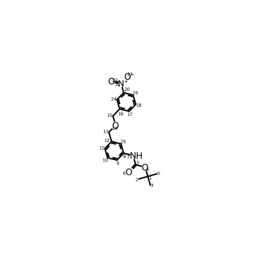 CC(C)(C)OC(=O)Nc1cccc(COCc2cccc([N+](=O)[O-])c2)c1